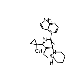 CC1(c2nc(-c3cccc4[nH]ccc34)nc3c2CC[C@@H]2CCCCN32)CC1